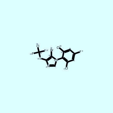 Fc1cc(Cl)c(-n2cnc(SC(F)(F)Cl)c2Br)c(Cl)c1